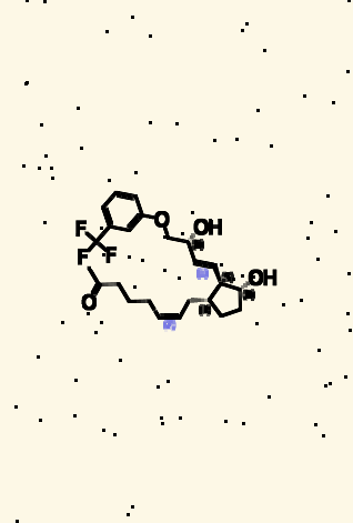 CC(=O)CCC/C=C\C[C@H]1CC[C@@H](O)[C@@H]1/C=C/[C@@H](O)COc1cccc(C(F)(F)F)c1